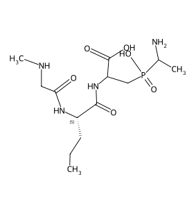 CCC[C@H](NC(=O)CNC)C(=O)NC(CP(=O)(O)C(C)N)C(=O)O